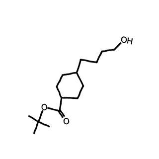 CC(C)(C)OC(=O)C1CCC(CCCCO)CC1